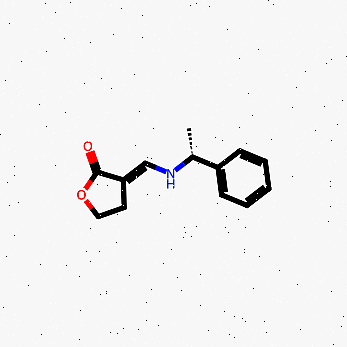 C[C@@H](NC=C1CCOC1=O)c1ccccc1